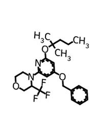 CCCC(C)(C)Oc1cc(OCc2ccccc2)cc(N2CCOCC2C(F)(F)F)n1